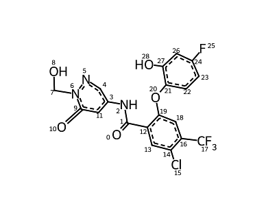 O=C(Nc1cnn(CO)c(=O)c1)c1cc(Cl)c(C(F)(F)F)cc1Oc1ccc(F)cc1O